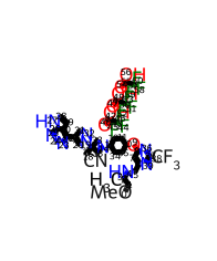 COCC(C)NCc1cc(O[C@H]2CC[C@@H](N3CC(CC#N)(n4cc(-c5ncnc6[nH]ccc56)cn4)C3)CC2)nc(C(F)(F)F)n1.O=C(O)C(F)(F)F.O=C(O)C(F)(F)F.O=C(O)C(F)(F)F